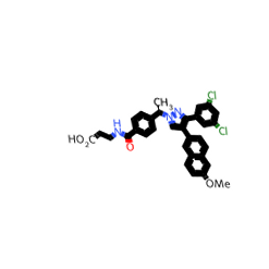 COc1ccc2cc(-c3cn([C@@H](C)c4ccc(C(=O)NCCC(=O)O)cc4)nc3-c3cc(Cl)cc(Cl)c3)ccc2c1